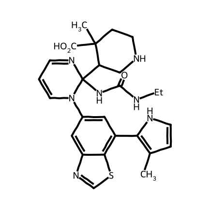 CCNC(=O)NC1(C2CNCCC2(C)C(=O)O)N=CC=CN1c1cc(-c2[nH]ccc2C)c2scnc2c1